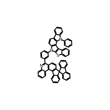 c1ccc(-n2c3ccccc3c3ccc4c(c5c6ccccc6sc5n4-c4cccc(-c5nc6ccccc6c6c7c(ccc56)C5(c6ccccc6-c6ccccc65)c5ccccc5-7)c4)c32)cc1